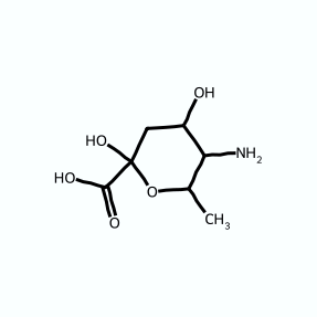 CC1OC(O)(C(=O)O)CC(O)C1N